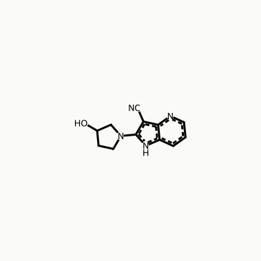 N#Cc1c(N2CCC(O)C2)[nH]c2cccnc12